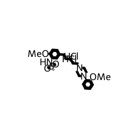 COc1ccc(CCCCCN2CCN(c3ccccc3OC)CC2)cc1NS(C)(=O)=O.Cl.Cl